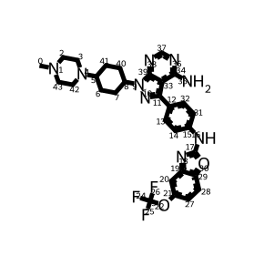 CN1CCN(C2CCC(n3nc(-c4ccc(Nc5nc6cc(OC(F)(F)F)ccc6o5)cc4)c4c(N)ncnc43)CC2)CC1